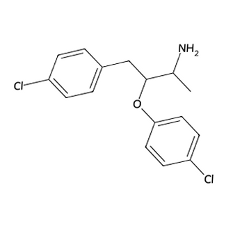 CC(N)C(Cc1ccc(Cl)cc1)Oc1ccc(Cl)cc1